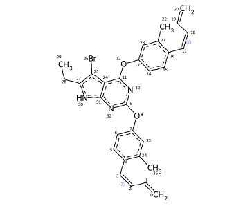 C=C/C=C\c1ccc(Oc2nc(Oc3ccc(/C=C\C=C)c(C)c3)c3c(Br)c(CC)[nH]c3n2)cc1C